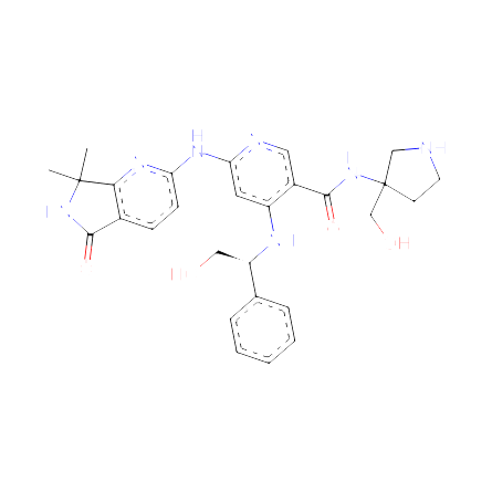 CC1(C)NC(=O)c2ccc(Nc3cc(N[C@H](CO)c4ccccc4)c(C(=O)NC4(CO)CCNC4)cn3)nc21